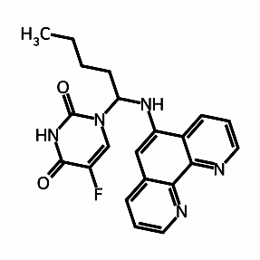 CCCCC(Nc1cc2cccnc2c2ncccc12)n1cc(F)c(=O)[nH]c1=O